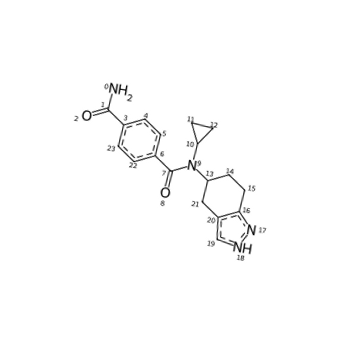 NC(=O)c1ccc(C(=O)N(C2CC2)C2CCc3n[nH]cc3C2)cc1